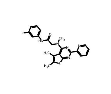 Cc1sc2nc(-c3ccccn3)nc(N(C)CC(=O)Nc3cccc(F)c3)c2c1C